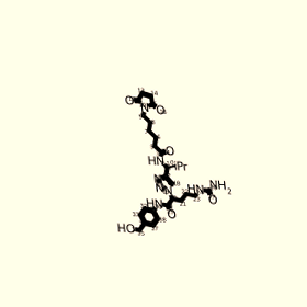 CC(C)[C@H](NC(=O)CCCCCN1C(=O)C=CC1=O)c1cn(C(CCCNC(N)=O)C(=O)Nc2ccc(CO)cc2)nn1